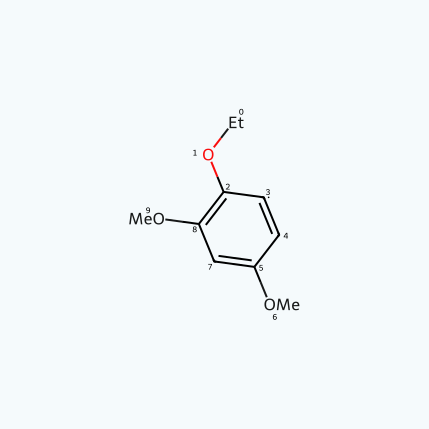 CCOc1[c]cc(OC)cc1OC